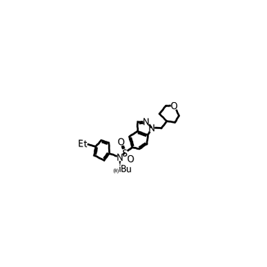 CCc1ccc(N([C@H](C)CC)S(=O)(=O)c2ccc3c(cnn3CC3CCOCC3)c2)cc1